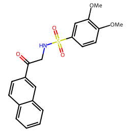 COc1ccc(S(=O)(=O)NCC(=O)c2ccc3ccccc3c2)cc1OC